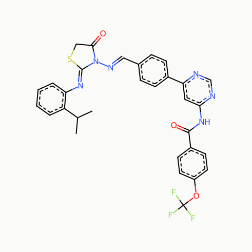 CC(C)c1ccccc1/N=C1\SCC(=O)N1/N=C/c1ccc(-c2cc(NC(=O)c3ccc(OC(F)(F)F)cc3)ncn2)cc1